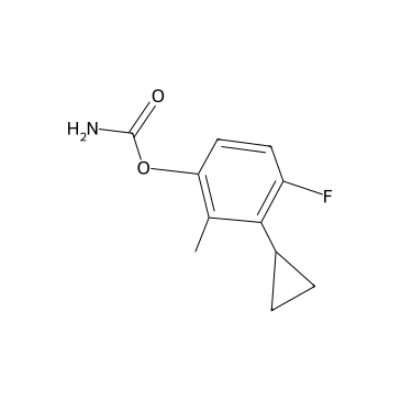 Cc1c(OC(N)=O)ccc(F)c1C1CC1